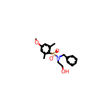 COc1cc(C)c(S(=O)(=O)N(CCO)Cc2ccccc2)c(C)c1